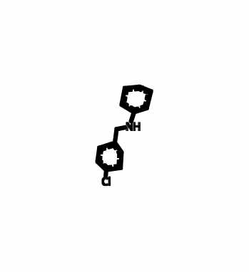 Clc1ccc(CNc2cc[c]cc2)cc1